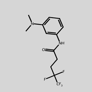 CN(C)c1cccc(NC(=O)CCC(F)(F)C(F)(F)F)c1